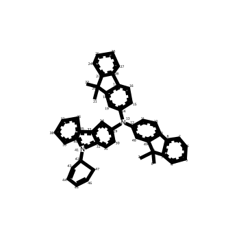 CC1(C)c2ccccc2-c2ccc(N(c3ccc4c(c3)C(C)(C)c3ccccc3-4)c3ccc4c(c3)c3ccccc3n4C3C=CC=CC3)cc21